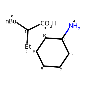 CCCCC(CC)C(=O)O.NC1CCCCC1